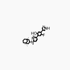 CN(c1ccc(-c2cc(F)c(-c3cn[nH]c3)cc2O)nn1)[C@H]1C[C@]2(C)CCC[C@](C)(C1)C2